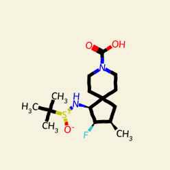 C[C@@H]1CC2(CCN(C(=O)O)CC2)[C@H](N[S+]([O-])C(C)(C)C)[C@@H]1F